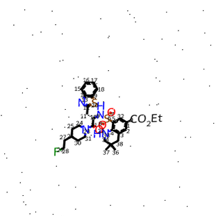 CCOC(=O)c1cc2c(c(S(=O)(=O)N[C@@H](Cc3nc4ccccc4s3)C(=O)N3CCC(CCF)CC3)c1)NCC(C)(C)C2